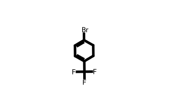 FC(F)(F)C1=CC=C(Br)CC1